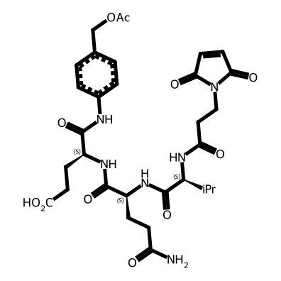 CC(=O)OCc1ccc(NC(=O)[C@H](CCC(=O)O)NC(=O)[C@H](CCC(N)=O)NC(=O)[C@@H](NC(=O)CCN2C(=O)C=CC2=O)C(C)C)cc1